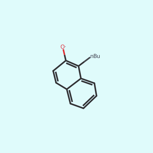 CCCCc1c([O])ccc2ccccc12